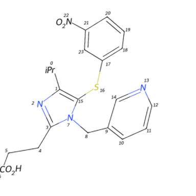 CC(C)c1nc(CCC(=O)O)n(Cc2cccnc2)c1Sc1cccc([N+](=O)[O-])c1